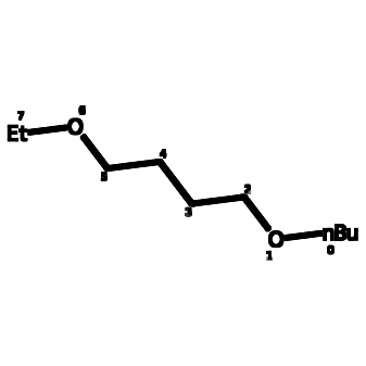 [CH2]CCCOCCCCOCC